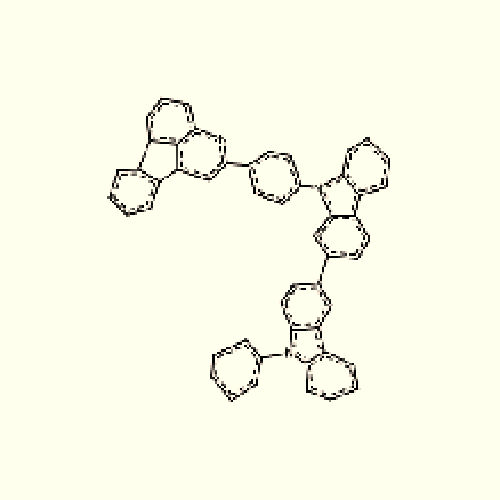 c1ccc(-n2c3ccccc3c3cc(-c4ccc5c6ccccc6n(-c6ccc(-c7cc8c9c(cccc9n7)-c7ccccc7-8)cc6)c5c4)ccc32)cc1